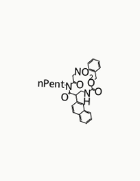 CCCCCN(C(=O)C[N+](=O)[O-])C(=O)C(CNC(=O)OCc1ccccc1)c1ccc2ccccc2c1